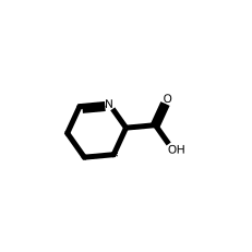 O=C(O)C1[C]CCC=N1